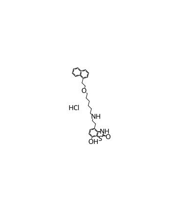 Cl.O=c1[nH]c2c(CCNCCCCCCOCCc3cccc4ccccc34)ccc(O)c2s1